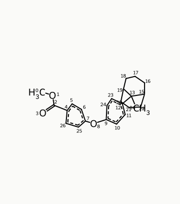 COC(=O)c1ccc(Oc2ccc(C3(C)C4CCCC3CCC4)cc2)cc1